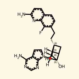 Nc1ccc2ccc(CC[C@@]34CC5[C@@H]3[C@@H](n3ccc6c(N)ncnc63)[C@@]5(O)[C@@H]4O)c(F)c2n1